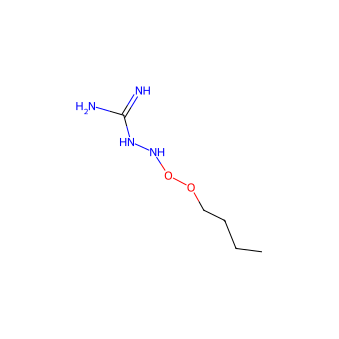 CCCCOONNC(=N)N